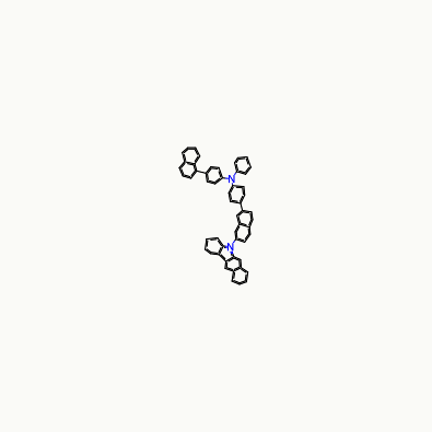 c1ccc(N(c2ccc(-c3ccc4ccc(-n5c6ccccc6c6cc7ccccc7cc65)cc4c3)cc2)c2ccc(-c3cccc4ccccc34)cc2)cc1